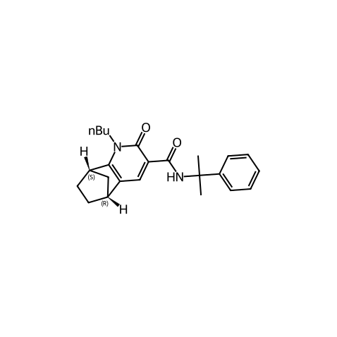 CCCCn1c2c(cc(C(=O)NC(C)(C)c3ccccc3)c1=O)[C@@H]1CC[C@H]2C1